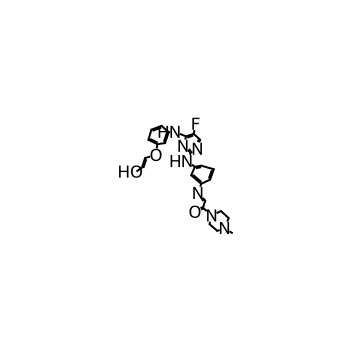 CN1CCN(C(=O)C=Nc2cccc(Nc3ncc(F)c(Nc4cccc(OC=CO)c4)n3)c2)CC1